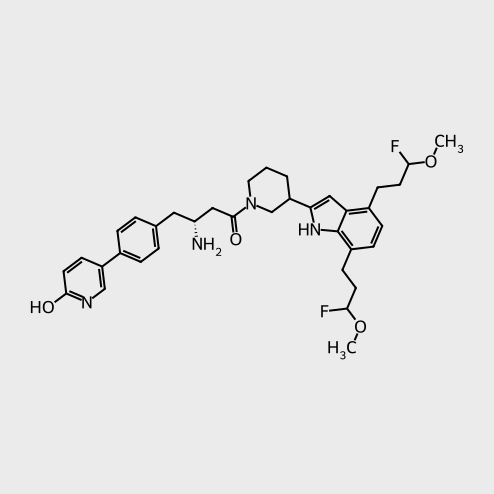 COC(F)CCc1ccc(CCC(F)OC)c2[nH]c(C3CCCN(C(=O)C[C@H](N)Cc4ccc(-c5ccc(O)nc5)cc4)C3)cc12